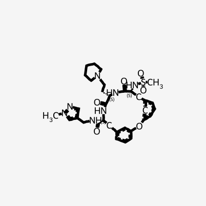 Cn1cc(CNC(=O)[C@@H]2Cc3cccc(c3)Oc3cccc(c3)C[C@H](NS(C)(=O)=O)C(=O)N[C@@H](CCN3CCCCC3)C(=O)N2)cn1